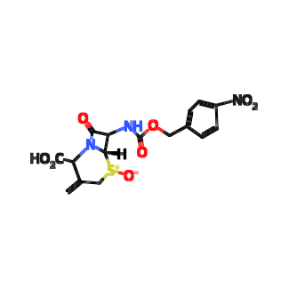 C=C1C[S+]([O-])[C@H]2C(NC(=O)OCc3ccc([N+](=O)[O-])cc3)C(=O)N2C1C(=O)O